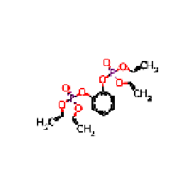 C=COP(=O)(OC=C)Oc1ccccc1OP(=O)(OC=C)OC=C